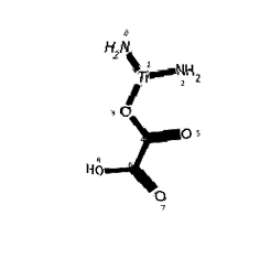 [NH2][Ti]([NH2])[O]C(=O)C(=O)O